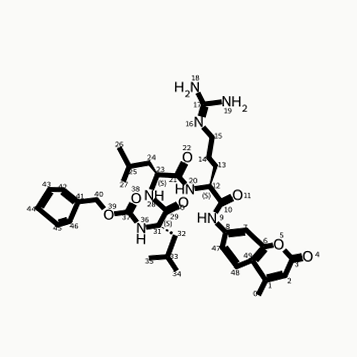 Cc1cc(=O)oc2cc(NC(=O)[C@H](CCCN=C(N)N)NC(=O)[C@H](CC(C)C)NC(=O)[C@H](CC(C)C)NC(=O)OCc3ccccc3)ccc12